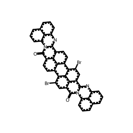 O=c1c2ccc3c4c(Br)cc5c(=O)n6c7cccc8cccc(nc6c6cc(Br)c(c9ccc(c2c39)c2nc3cccc9cccc(c93)n12)c4c56)c87